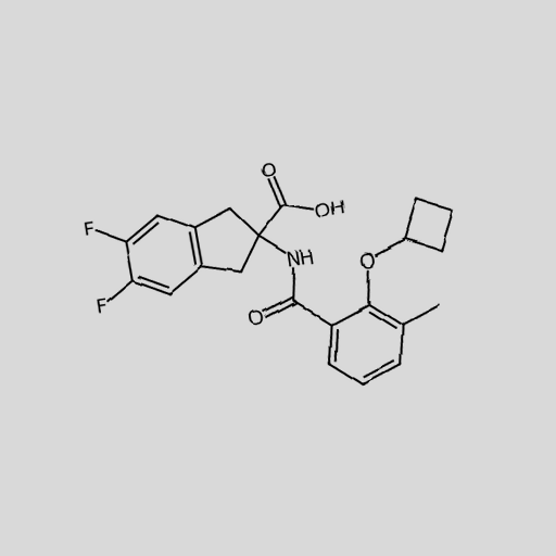 Cc1cccc(C(=O)NC2(C(=O)O)Cc3cc(F)c(F)cc3C2)c1OC1CCC1